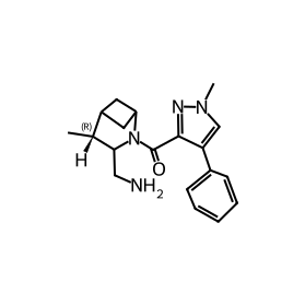 C[C@@H]1C2CC(C2)N(C(=O)c2nn(C)cc2-c2ccccc2)C1CN